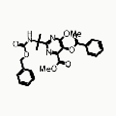 COC(=O)c1nc(C(C)(C)NC(=O)OCc2ccccc2)nc(OC)c1OC(=O)c1ccccc1